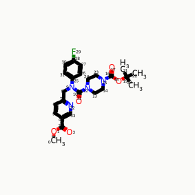 COC(=O)c1ccc(CN(C(=O)N2CCN(C(=O)OC(C)(C)C)CC2)c2ccc(F)cc2)nc1